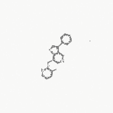 Cc1cccnc1Cc1cn[c]c2c(-c3ccccc3)csc12